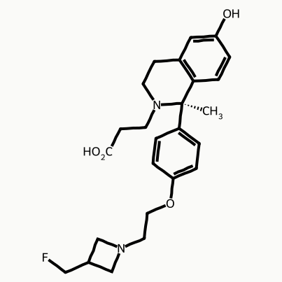 C[C@@]1(c2ccc(OCCN3CC(CF)C3)cc2)c2ccc(O)cc2CCN1CCC(=O)O